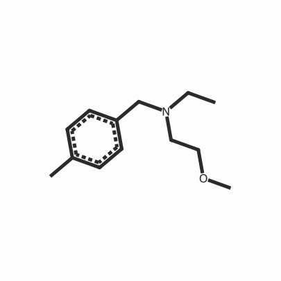 CCN(CCOC)Cc1ccc(C)cc1